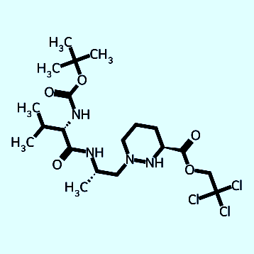 CC(C)[C@H](NC(=O)OC(C)(C)C)C(=O)N[C@@H](C)CN1CCC[C@@H](C(=O)OCC(Cl)(Cl)Cl)N1